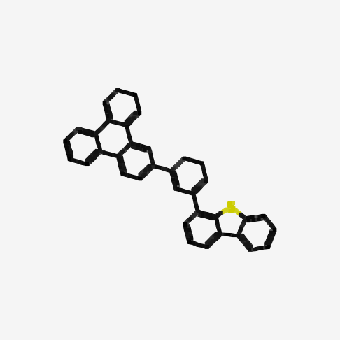 C1=C(c2ccc3c(c2)c2c(c4ccccc43)=CCCC=2)CCC=C1c1cccc2c1sc1ccccc12